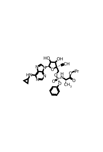 C#C[C@]1(CO[P@@](=O)(N[C@@H](C)C(=O)OC(C)C)Oc2ccccc2)O[C@@H](n2cnc3c(NC4CC4)ncnc32)C(O)C1O